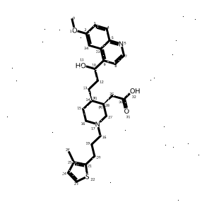 COc1ccc2nccc(C(O)CC[C@@H]3CCN(CCCc4sccc4C)C[C@@H]3CC(=O)O)c2c1